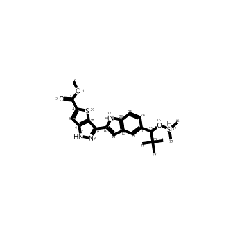 COC(=O)c1cc2[nH]nc(-c3cc4cc(C(O[SiH](C)C)C(C)(C)C)ccc4[nH]3)c2s1